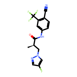 C[C@H](Cn1cc(F)cn1)C(=O)Nc1ccc(C#N)c(C(F)(F)F)c1